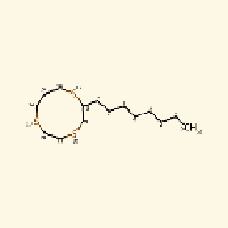 CCCCCCCCC1CSCCSCCCS1